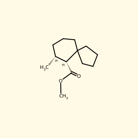 COC(=O)[C@@H]1[C@H](C)CCCC12CCCC2